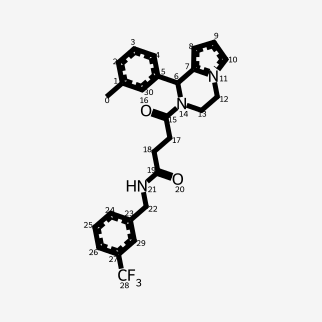 Cc1cccc(C2c3cccn3CCN2C(=O)CCC(=O)NCc2cccc(C(F)(F)F)c2)c1